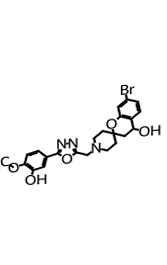 COc1ccc(-c2nnc(CN3CCC4(CC3)CC(O)c3ccc(Br)cc3O4)o2)cc1O